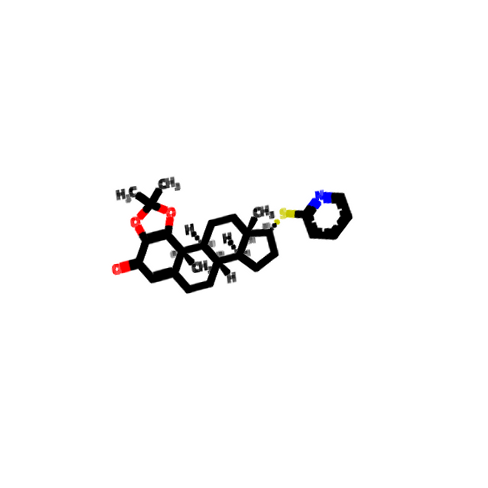 CC1(C)OC2=C(O1)[C@@]1(C)C(=CC2=O)CC[C@@H]2[C@@H]1CC[C@]1(C)[C@H](Sc3ccccn3)CC[C@@H]21